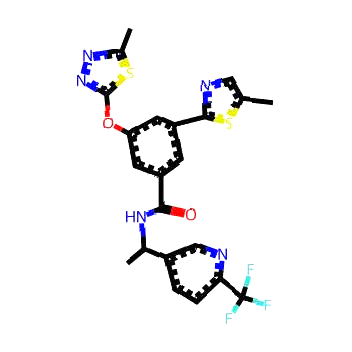 Cc1cnc(-c2cc(Oc3nnc(C)s3)cc(C(=O)NC(C)c3ccc(C(F)(F)F)nc3)c2)s1